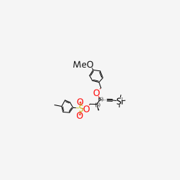 COc1ccc(CO[C@H](C#C[Si](C)(C)C)[C@@H](C)COS(=O)(=O)c2ccc(C)cc2)cc1